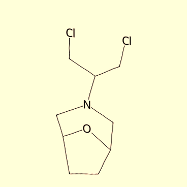 ClCC(CCl)N1CC2CCC(C1)O2